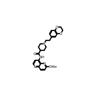 COc1ccc2nccc(NC(=O)C3CCN(CCc4ccc5c(c4)OCCO5)CC3)c2n1